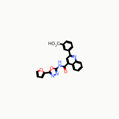 O=C(O)c1cccc(-c2cc(C(=O)Nc3nnc(-c4ccco4)o3)c3ccccc3n2)c1